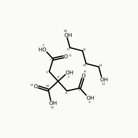 O=C(O)CC(O)(CC(=O)O)C(=O)O.OCCCCO